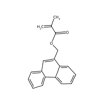 C=C(C)C(=O)OCc1cc2ccccc2c2ccccc12